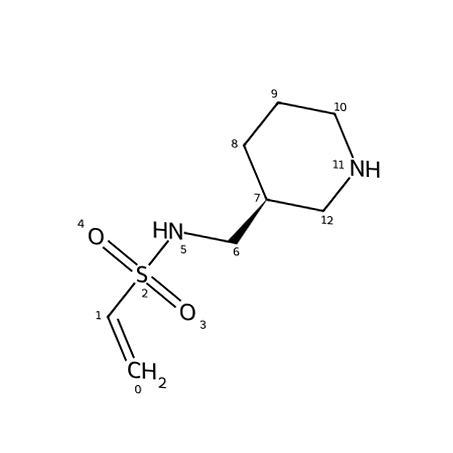 C=CS(=O)(=O)NC[C@H]1CCCNC1